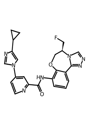 O=C(Nc1cccc2c1OC[C@@H](CF)n1cnnc1-2)c1cc(-n2cnc(C3CC3)c2)ccn1